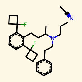 CC#N.CCCN(CCc1ccccc1)C(C)CCc1c(C2(F)CCC2)cccc1C1(F)CCC1